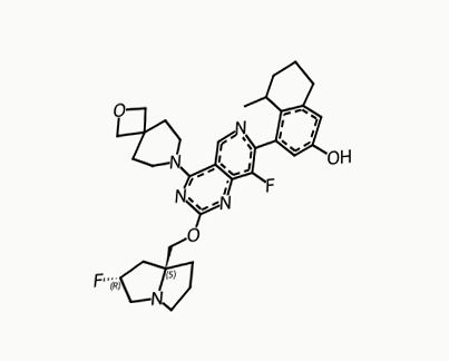 CC1CCCc2cc(O)cc(-c3ncc4c(N5CCC6(CC5)COC6)nc(OC[C@@]56CCCN5C[C@H](F)C6)nc4c3F)c21